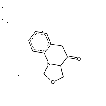 O=C1Cc2ccccc2N2COCC12